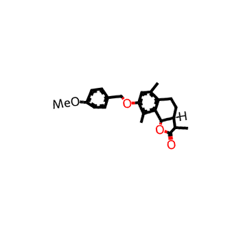 COc1ccc(COc2cc(C)c3c(c2C)C2OC(=O)C(C)[C@@H]2CC3)cc1